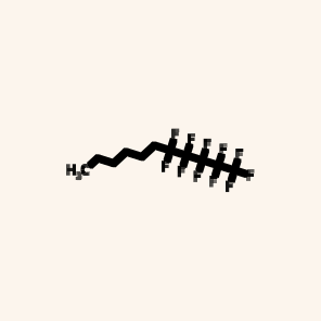 CCCCCCC(F)(F)C(F)(F)C(F)(F)C(F)(F)C(F)(F)F